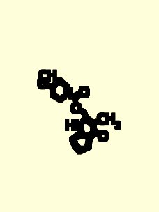 COC1CCN(C(=O)OCc2[nH]c3ccccc3c(=O)c2C)CC1